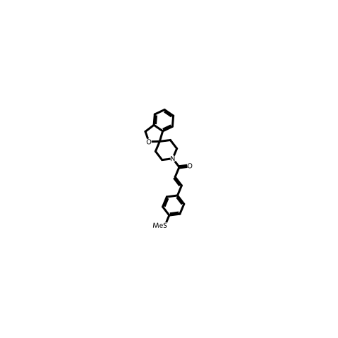 CSc1ccc(/C=C/C(=O)N2CCC3(CC2)OCc2ccccc23)cc1